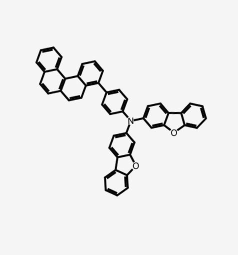 c1ccc2c(c1)ccc1ccc3c(-c4ccc(N(c5ccc6c(c5)oc5ccccc56)c5ccc6c(c5)oc5ccccc56)cc4)cccc3c12